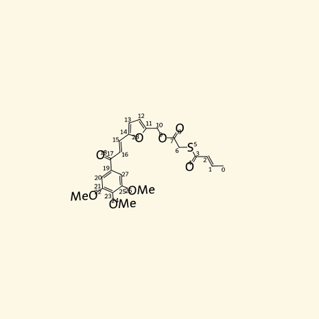 CC=CC(=O)SCC(=O)OCc1ccc(C=CC(=O)c2cc(OC)c(OC)c(OC)c2)o1